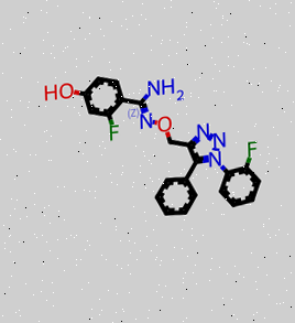 N/C(=N\OCc1nnn(-c2ccccc2F)c1-c1ccccc1)c1ccc(O)cc1F